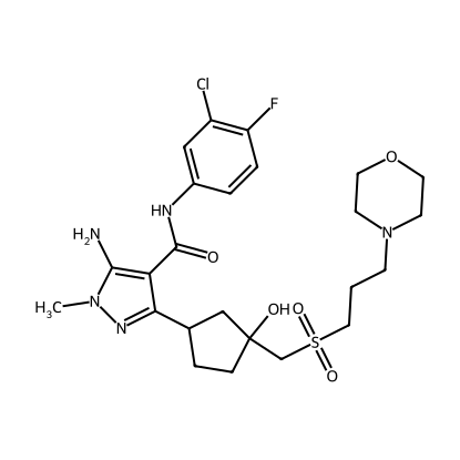 Cn1nc(C2CCC(O)(CS(=O)(=O)CCCN3CCOCC3)C2)c(C(=O)Nc2ccc(F)c(Cl)c2)c1N